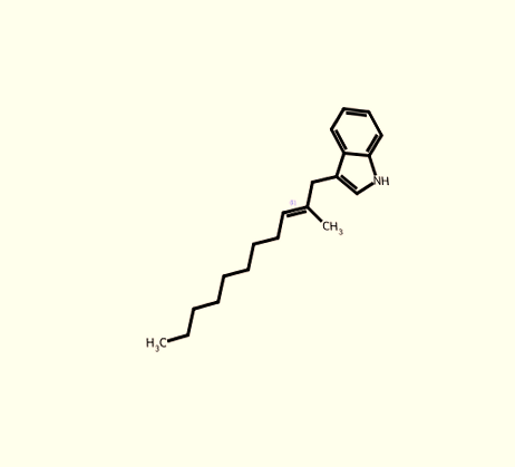 CCCCCCCC/C=C(\C)Cc1c[nH]c2ccccc12